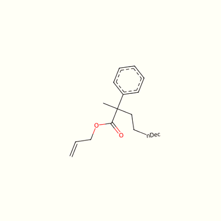 C=CCOC(=O)C(C)(CCCCCCCCCCCC)c1ccccc1